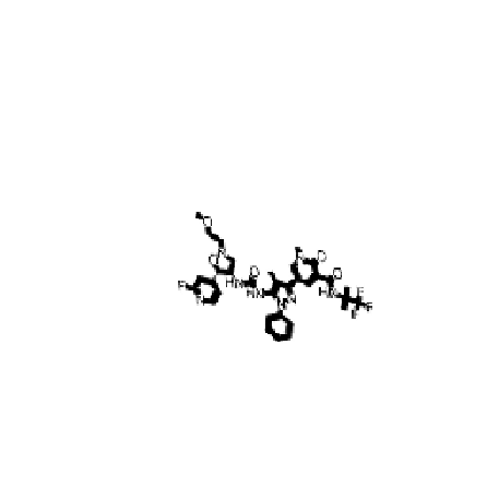 COCCN1C[C@@H](NC(=O)Nc2c(C)c(-c3cc(C(=O)NC(C)(C)C(F)(F)F)c(=O)n(C)c3)nn2-c2ccccc2)[C@H](c2ccnc(F)c2)O1